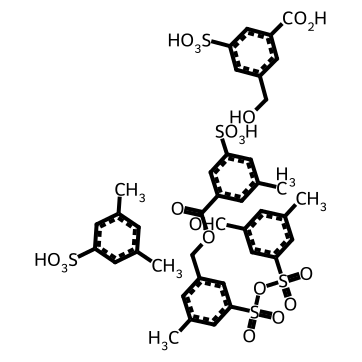 Cc1cc(C(=O)OCc2cc(C)cc(S(=O)(=O)OS(=O)(=O)c3cc(C)cc(C=O)c3)c2)cc(S(=O)(=O)O)c1.Cc1cc(C)cc(S(=O)(=O)O)c1.O=C(O)c1cc(CO)cc(S(=O)(=O)O)c1